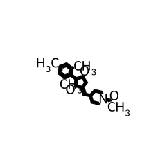 CC(=O)N1CCC(/C=C2\CC(=O)C(c3c(C)cc(C)cc3C)C2=O)CC1